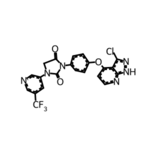 O=C1CN(c2cncc(C(F)(F)F)c2)C(=O)N1c1ccc(Oc2ccnc3[nH]nc(Cl)c23)cc1